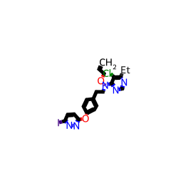 C=CCON(CCc1ccc(Oc2ccc(I)nn2)cc1)c1ncnc(CC)c1Cl